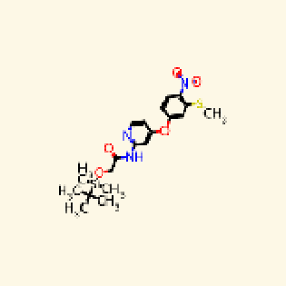 CSc1cc(Oc2ccnc(NC(=O)CO[Si](C)(C)C(C)(C)C)c2)ccc1[N+](=O)[O-]